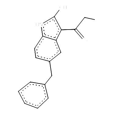 O=C(CCl)c1c(O)[nH]c2ccc(Cc3ccccc3)cc12